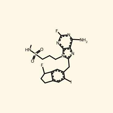 CNS(=O)(=O)CCCn1c(Cc2cc3c(cc2I)CCC3F)nc2c(N)nc(F)nc21